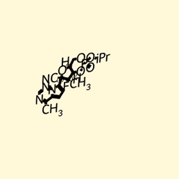 Cc1ncnn2c([C@]3(C#N)O[C@@H]4COP(=O)(OC(C)C)O[C@H]4[C@@]3(C)F)ccc12